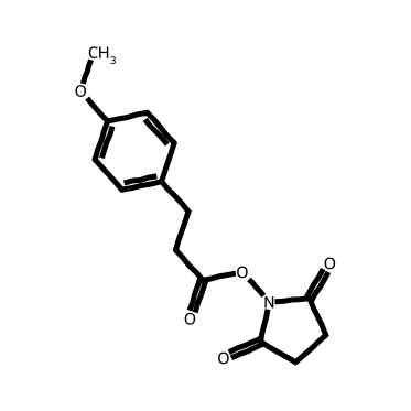 COc1ccc(CCC(=O)ON2C(=O)CCC2=O)cc1